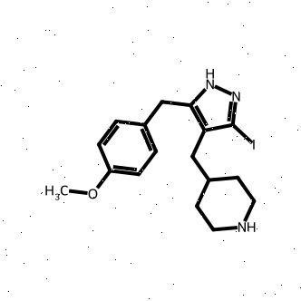 COc1ccc(Cc2[nH]nc(I)c2CC2CCNCC2)cc1